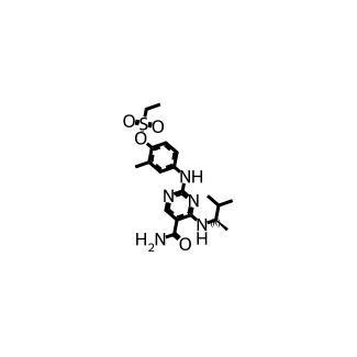 CCS(=O)(=O)Oc1ccc(Nc2ncc(C(N)=O)c(N[C@H](C)C(C)C)n2)cc1C